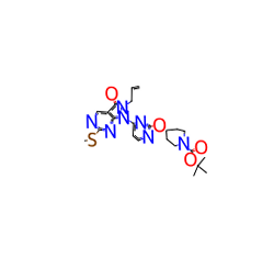 C=CCn1c(=O)c2cnc(SC)nc2n1-c1ccnc(OC2CCN(C(=O)OC(C)(C)C)CC2)n1